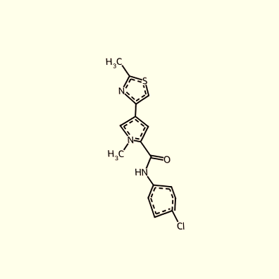 Cc1nc(-c2cc(C(=O)Nc3ccc(Cl)cc3)n(C)c2)cs1